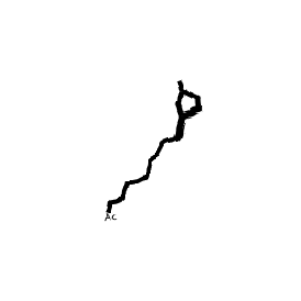 CC(=O)CCCCCCCCC1CCC(C)C1